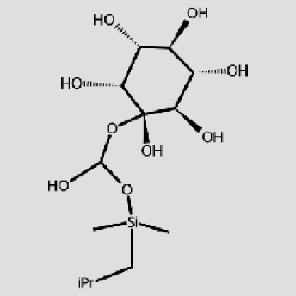 CC(C)C[Si](C)(C)OC(O)O[C@]1(O)[C@H](O)[C@H](O)[C@@H](O)[C@H](O)[C@H]1O